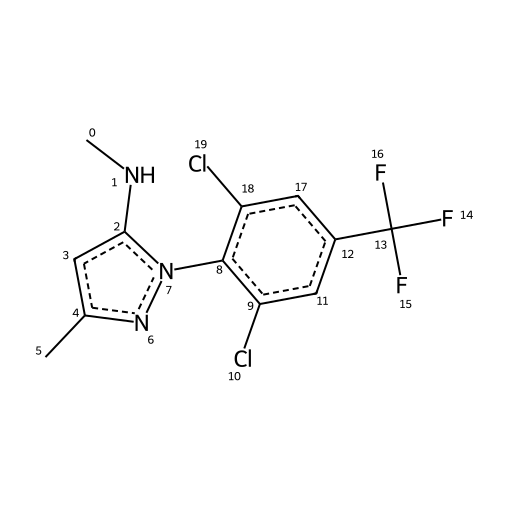 CNc1cc(C)nn1-c1c(Cl)cc(C(F)(F)F)cc1Cl